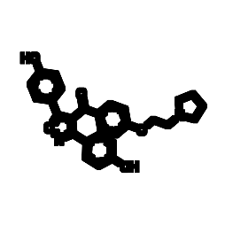 O=C(c1ccc(OCCN2CCCC2)cc1)c1c(-c2ccc(O)cc2)noc1-c1ccc(O)cc1